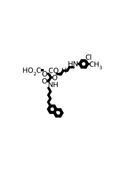 Cc1ccc(NCCCCCCOC(C(=O)NCCCCCc2ccc3ccccc3c2)C(OCC(=O)O)C(=O)O)cc1Cl